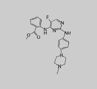 COC(=O)c1ccccc1Nc1nc(Nc2ccc(N3CCN(C)CC3)cc2)ncc1F